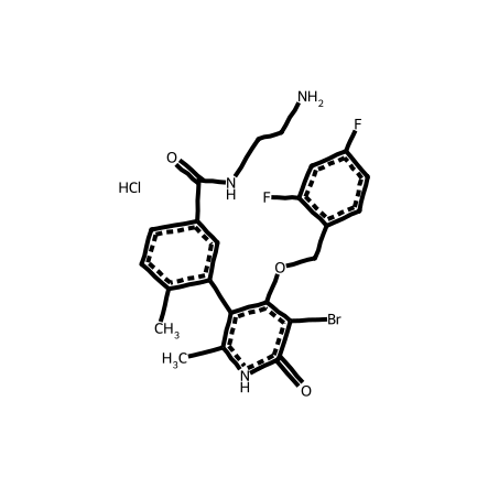 Cc1ccc(C(=O)NCCN)cc1-c1c(C)[nH]c(=O)c(Br)c1OCc1ccc(F)cc1F.Cl